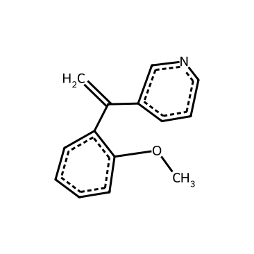 C=C(c1cccnc1)c1ccccc1OC